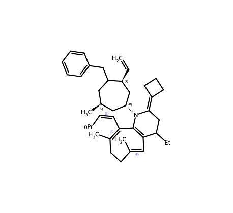 C=C[C@H]1C[C@H](N2C(=C3CCC3)CC(CC)C3=C2C(/C=C\CCC)=C(/C)CC/C(C)=C/3)C[C@@H](C)CC1Cc1ccccc1